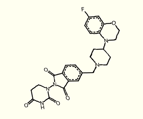 O=C1CCN(N2C(=O)c3ccc(CN4CCC(N5CCOc6cc(F)ccc65)CC4)cc3C2=O)C(=O)N1